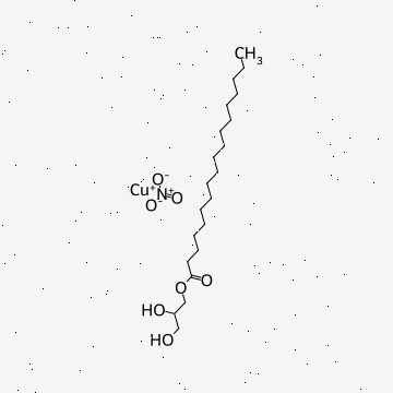 CCCCCCCCCCCCCCCCCC(=O)OCC(O)CO.O=[N+]([O-])[O-].[Cu+]